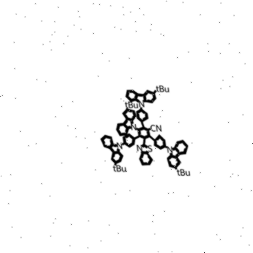 CC(C)(C)c1ccc2c(c1)c1ccccc1n2-c1ccc(-c2c(C#N)c(-c3ccc(-n4c5ccccc5c5cc(C(C)(C)C)ccc54)cc3)c(-n3c4ccccc4c4cc(C(C)(C)C)ccc43)c(-c3ccc(-n4c5ccccc5c5cc(C(C)(C)C)ccc54)cc3)c2-c2nc3ccccc3s2)cc1